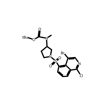 CN(C(=O)OC(C)(C)C)C1CCN(S(=O)(=O)c2cccc3c(Cl)ncc(Br)c23)C1